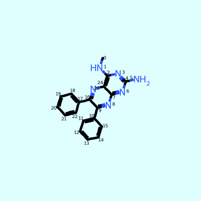 CNc1nc(N)nc2nc(-c3ccccc3)c(-c3ccccc3)nc12